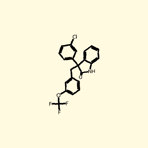 O=C1Nc2ccccc2C1(Cc1cccc(OC(F)(F)F)c1)c1cccc(Cl)c1